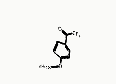 CCCCCCOc1ccc(C(=O)C(F)(F)F)cc1